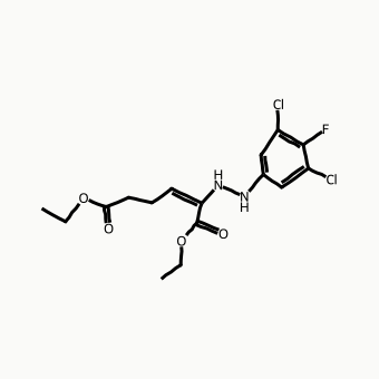 CCOC(=O)CC/C=C(/NNc1cc(Cl)c(F)c(Cl)c1)C(=O)OCC